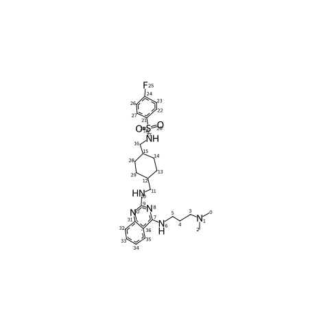 CN(C)CCCNc1nc(NCC2CCC(CNS(=O)(=O)c3ccc(F)cc3)CC2)nc2ccccc12